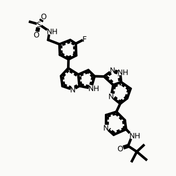 CC(C)(C)C(=O)Nc1cncc(-c2ccc3[nH]nc(-c4cc5c(-c6cc(F)cc(CNS(C)(=O)=O)c6)ccnc5[nH]4)c3n2)c1